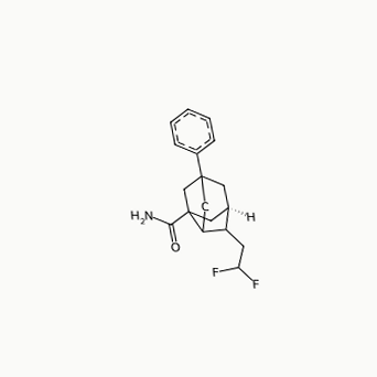 NC(=O)C12C[C@H]3CC(c4ccccc4)(CC1C3CC(F)F)C2